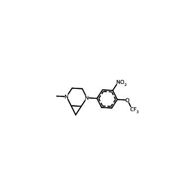 CN1CCN(c2ccc(OC(F)(F)F)c([N+](=O)[O-])c2)C2CC21